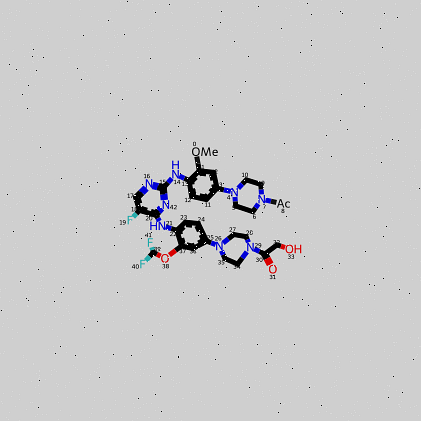 COc1cc(N2CCN(C(C)=O)CC2)ccc1Nc1ncc(F)c(Nc2ccc(N3CCN(C(=O)CO)CC3)cc2OC(F)F)n1